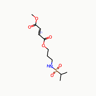 COC(=O)/C=C/C(=O)OCCCNS(=O)(=O)C(C)C